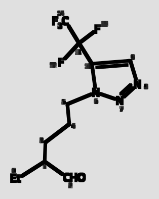 CCC(C=O)CCCn1nncc1C(F)(F)C(F)(F)F